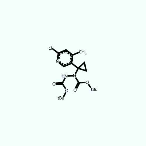 Cc1cc(Cl)ncc1C1(N(NC(=O)OC(C)(C)C)C(=O)OC(C)(C)C)CC1